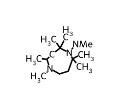 CNN1C(C)(C)CCN(C)C(C)CC1(C)C